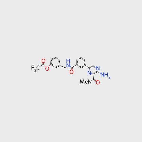 CNC(=O)c1nc(-c2cccc(C(=O)NCc3cccc(OC(=O)C(F)(F)F)c3)c2)cnc1N